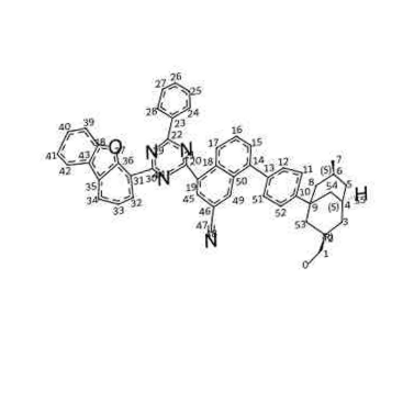 CC[C@@H]1C[C@@H]2C[C@H](C)CC(c3ccc(-c4cccc5c(-c6nc(-c7ccccc7)nc(-c7cccc8c7oc7ccccc78)n6)cc(C#N)cc45)cc3)(C1)C2